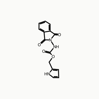 O=C(NN1C(=O)c2ccccc2C1=O)OCc1ccc[nH]1